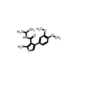 COc1ccc(-c2csc(N)c2C(=O)NC(C)C)cc1OC